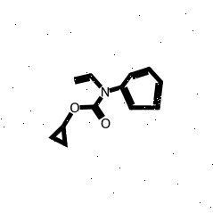 C=CN(C(=O)OC1CC1)c1ccccc1